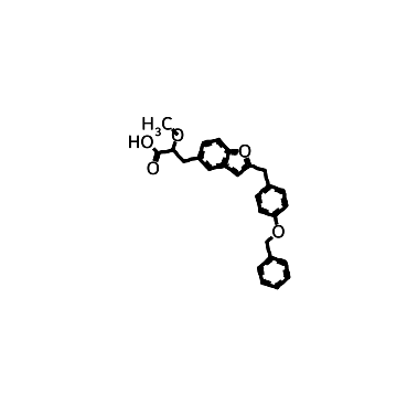 COC(Cc1ccc2oc(Cc3ccc(OCc4ccccc4)cc3)cc2c1)C(=O)O